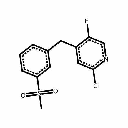 CS(=O)(=O)c1cccc(Cc2cc(Cl)ncc2F)c1